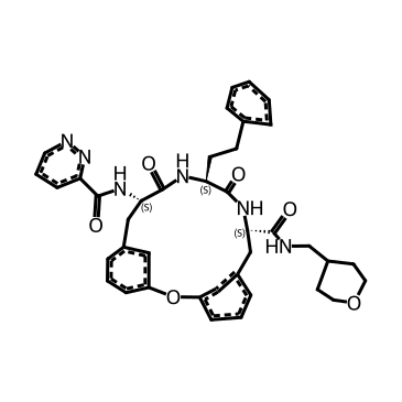 O=C(N[C@H]1Cc2cccc(c2)Oc2cccc(c2)C[C@@H](C(=O)NCC2CCOCC2)NC(=O)[C@H](CCc2ccccc2)NC1=O)c1cccnn1